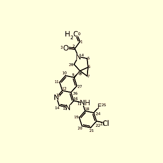 C=CC(=O)N1CC2C[C@]2(c2ccc3ncnc(Nc4cccc(Cl)c4F)c3c2)C1